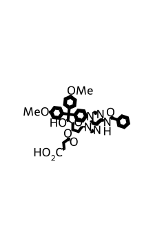 COc1ccc(C(c2ccccc2)(c2ccc(OC)cc2)C(O)[C@H]2O[C@@H](n3cnc4c(NC(=O)c5ccccc5)ncnc43)C[C@@H]2OC(=O)CCC(=O)O)cc1